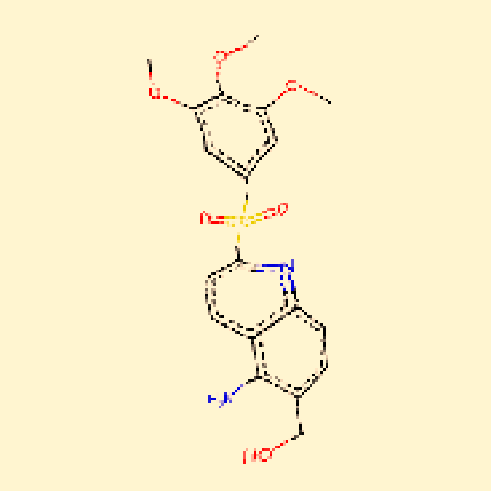 COc1cc(S(=O)(=O)c2ccc3c(N)c(CO)ccc3n2)cc(OC)c1OC